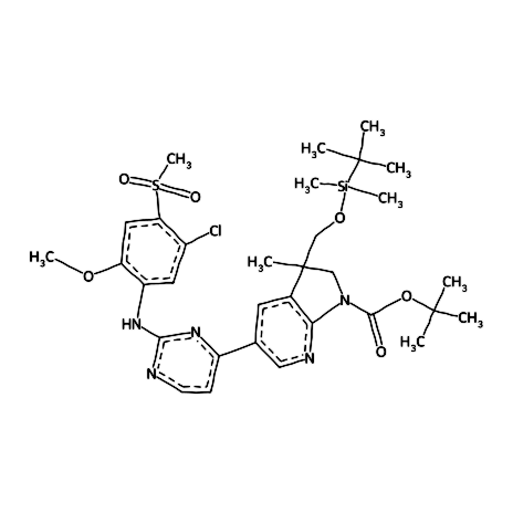 COc1cc(S(C)(=O)=O)c(Cl)cc1Nc1nccc(-c2cnc3c(c2)C(C)(CO[Si](C)(C)C(C)(C)C)CN3C(=O)OC(C)(C)C)n1